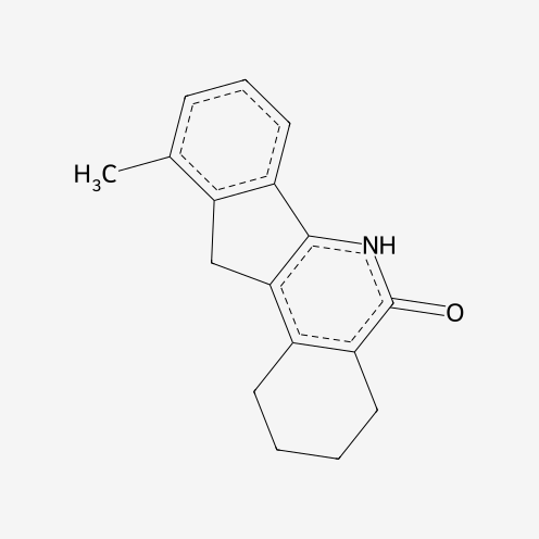 Cc1cccc2c1Cc1c-2[nH]c(=O)c2c1CCCC2